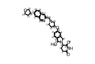 O=C1CCC(N2Cc3cc(O[C@H]4CCN(Cc5cc6ccc([C@@H]7CCOC7)cc6cn5)C4)ccc3C2O)C(=O)N1